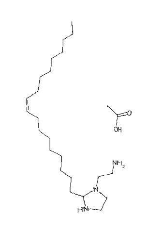 CC(=O)O.CCCCCCCC/C=C\CCCCCCCCC1NCCN1CCN